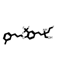 Cc1cccc(CCCOc2ccc(CCC(N)(CO)CCF)cc2C(F)(F)F)c1